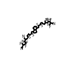 N#C/C(=C\c1ccc(-c2cc3c(ccc4c5cc(-c6ccc(/C=C(\C=N)c7nc(F)c(C#N)c(F)c7F)s6)sc5ccc34)s2)s1)c1nc(F)c(C#N)c(F)c1F